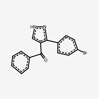 O=C(c1ccccc1)c1c[nH]nc1-c1ccc(Br)cc1